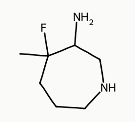 CC1(F)CCCNCC1N